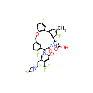 Cc1cc2cc(c1F)[C@H](CC(=O)O)NC(=O)[C@@H](n1cc(CCN3CC(F)C3)c(C(F)(F)F)cc1=O)c1cc(ccc1F)COc1ccc(F)cc1-2